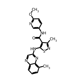 COc1ccc(NC(=O)c2c(C)nsc2Nc2cnc3cccc(C)c3n2)cn1